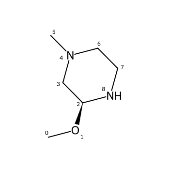 CO[C@H]1CN(C)CCN1